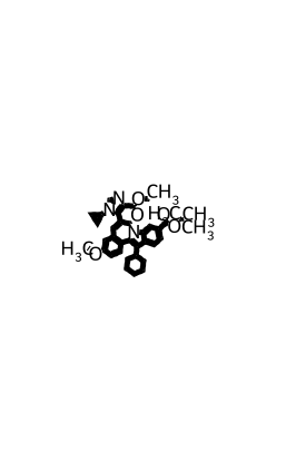 CCOC(=O)c1ncn(C2CC2)c1C1=Cc2cc(OC)ccc2-c2c(C3CCCCC3)c3ccc(C(=O)OC(C)(C)C)cc3n2C1